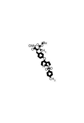 COC(=O)[C@H](Cc1ccc(Oc2ccnc3c2ccn3S(=O)(=O)c2ccc(C)cc2)cc1)N(C)C(=O)OC(C)(C)C